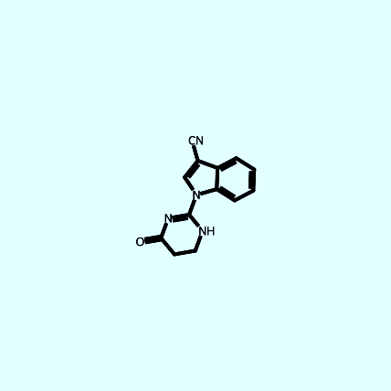 N#Cc1cn(C2=NC(=O)CCN2)c2ccccc12